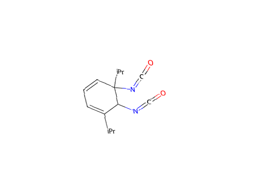 CC(C)C1=CC=CC(N=C=O)(C(C)C)C1N=C=O